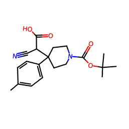 Cc1ccc(C2(C(C#N)C(=O)O)CCN(C(=O)OC(C)(C)C)CC2)cc1